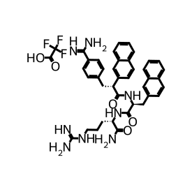 N=C(N)NCCC[C@H](NC(=O)[C@H](Cc1ccc2ccccc2c1)NC(=O)[C@H](Cc1ccc(C(=N)N)cc1)c1ccc2ccccc2c1)C(N)=O.O=C(O)C(F)(F)F